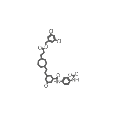 O=C1CC(CCC2CCCC(CCC(=O)OCc3cc(Cl)cc(Cl)c3)CC2)CC(C(=O)Nc2ccc3[nH]c(=O)oc3c2)C1